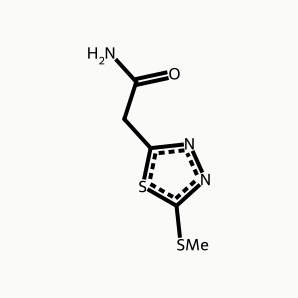 [CH2]Sc1nnc(CC(N)=O)s1